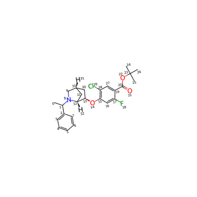 CC(c1ccccc1)N1C[C@H]2C[C@@H]1[C@H](Oc1cc(F)c(C(=O)OC(C)(C)C)cc1Cl)C2